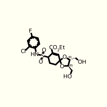 CCOC(=O)C1=CC2(CCC1S(=O)(=O)Nc1ccc(F)cc1Cl)O[C@H](CO)[C@@H](CO)O2